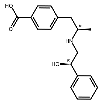 C[C@H](Cc1ccc(C(=O)O)cc1)NC[C@H](O)c1ccccc1